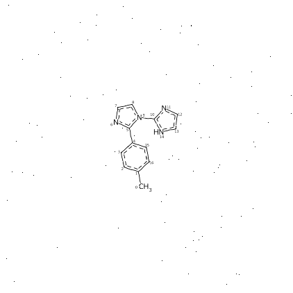 Cc1ccc(-c2nccn2-c2ncc[nH]2)cc1